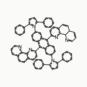 C1=CC2C=Cc3ccc(-c4c5cc(-n6c(-c7ccccc7)ccc6-c6ccccc6)ccc5c(-c5ccc6ccc7cccnc7c6n5)c5cc(-n6c(-c7ccccc7)ccc6-c6ccccc6)ccc45)nc3C2N=C1